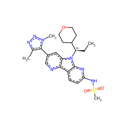 CC[C@H](C1CCOCC1)n1c2cc(-c3c(C)nnn3C)cnc2c2ccc(NS(C)(=O)=O)nc21